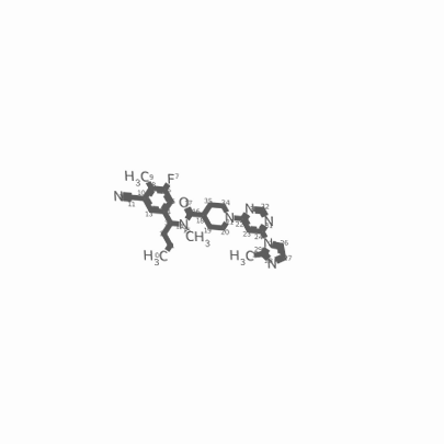 CCCC(c1cc(F)c(C)c(C#N)c1)N(C)C(=O)C1CCN(c2cc(-n3ccnc3C)ncn2)CC1